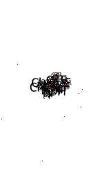 O[C@@H]1[C@@H](n2cc(-c3cc(F)c(F)c(F)c3)nn2)[C@H]2OC(c3ccccc3)OC[C@H]2O[C@H]1c1nncn1-c1ccc(Cl)c(Cl)c1